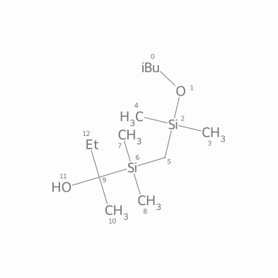 CCC(C)O[Si](C)(C)C[Si](C)(C)C(C)(O)CC